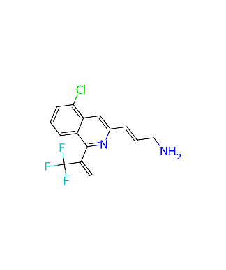 C=C(c1nc(/C=C/CN)cc2c(Cl)cccc12)C(F)(F)F